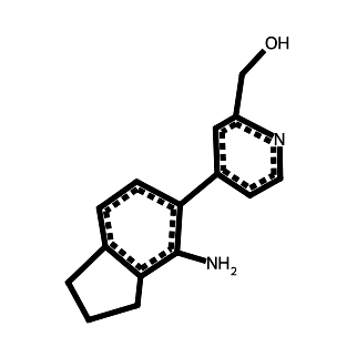 Nc1c(-c2ccnc(CO)c2)ccc2c1CCC2